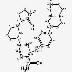 CN1CCN([C@@H]2CCCN(c3cnc(C(N)=O)c(Nc4ccc(N5CCC6CCNCC6C5)cc4)n3)C2)C1=O